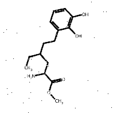 CCC(CCc1cccc(O)c1O)CC(N)C(=O)OC